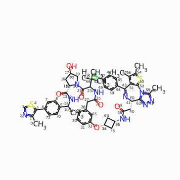 Cc1ncsc1-c1ccc([C@H](C)NC(=O)[C@@H]2C[C@@H](O)CN2C(=O)C(NC(=O)Cc2cccc(O[C@H]3C[C@@H](NC(=O)C[C@@H]4N=C(c5ccc(Cl)cc5)c5c(sc(C)c5C)-n5c(C)nnc54)C3)c2)C(C)(C)C)cc1